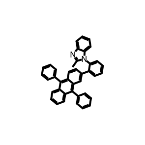 Cc1nc2ccccc2n1-c1ccccc1-c1ccc2c(-c3ccccc3)c3ccccc3c(-c3ccccc3)c2c1